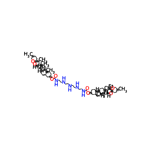 CC[C@H]1C2[C@H](C[C@H]3[C@@H]4CC=C5C[C@@H](OC(=O)NCCNCCNCCNCCNC(=O)O[C@H]6CC[C@@]7(C)C(=CC[C@@H]8[C@@H]7CC[C@]7(C)C9[C@H](C[C@@H]87)O[C@@]7(CC[C@H](C)CO7)[C@H]9C)C6)CC[C@]5(C)[C@H]4CC[C@]23C)O[C@@]12CC[C@H](C)CO2